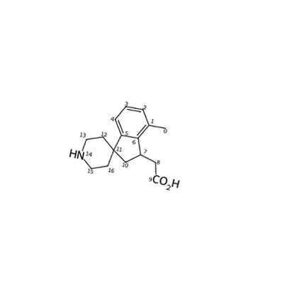 Cc1cccc2c1C(CC(=O)O)CC21CCNCC1